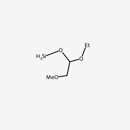 CCOC(COC)O[SiH3]